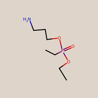 CCOP(=O)(CC)OCCCN